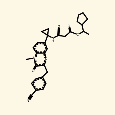 CC(OC(=O)CC(=O)NC1(c2ccc3c(c2)nc(Cc2ccc(C#N)cc2)c(=O)n3C)CC1)C1CCCC1